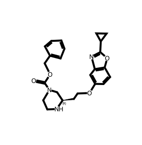 O=C(OCc1ccccc1)N1CCN[C@H](CCOc2ccc3oc(C4CC4)nc3c2)C1